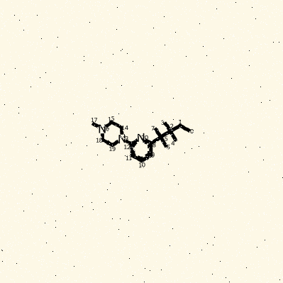 CCC(C)(C)C(C)(C)c1cccc(N2CCN(C)CC2)n1